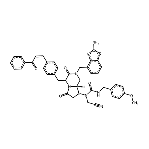 COc1ccc(CNC(=O)N(CC#N)N2CC(=O)N3[C@@H](Cc4ccc(/C=C\C(=O)c5ccccc5)cc4)C(=O)N(Cc4cccc5sc(N)nc45)C[C@@H]32)cc1